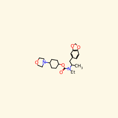 CCN(C(=O)OC1CCC(N2CCOCC2)CC1)C(C)Cc1ccc2c(c1)OCO2